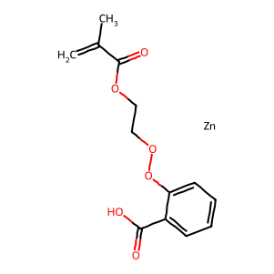 C=C(C)C(=O)OCCOOc1ccccc1C(=O)O.[Zn]